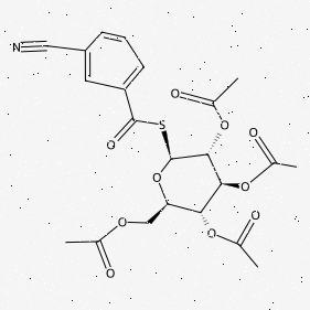 CC(=O)OC[C@H]1O[C@@H](SC(=O)c2cccc(C#N)c2)[C@H](OC(C)=O)[C@@H](OC(C)=O)[C@@H]1OC(C)=O